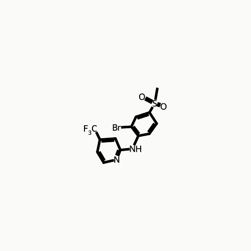 CS(=O)(=O)c1ccc(Nc2cc(C(F)(F)F)ccn2)c(Br)c1